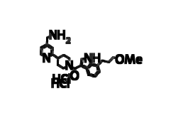 COCCCc1cccc2c(C(=O)N3CCC(c4cc(CN)ccn4)CC3)c[nH]c12.Cl.Cl